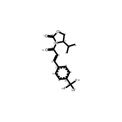 CC(C)C1COC(=O)N1C(=O)C=Cc1ccc(C(F)(F)F)cc1